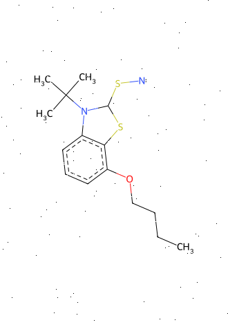 CCCCOc1cccc2c1SC(S[N])N2C(C)(C)C